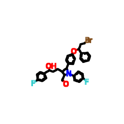 O=CC1C(CCC(O)c2ccc(F)cc2)C(c2ccc(OC(CCBr)c3ccccc3)cc2)N1c1ccc(F)cc1